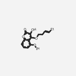 CCC=CCCOc1c(O)c(=O)oc2cccc(OC(C)C)c12